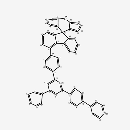 c1ccc(-c2nc(-c3ccc(-c4ccncc4)cc3)nc(-c3ccc(-c4cccc5c4-c4ccccc4C54c5ccccc5Oc5ccccc54)cc3)n2)cc1